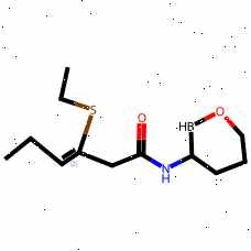 CC/C=C(/CC(=O)NC1BOCCC1)SCC